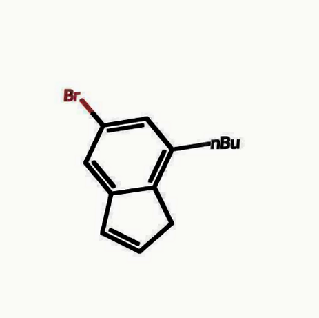 CCCCc1cc(Br)cc2c1CC=C2